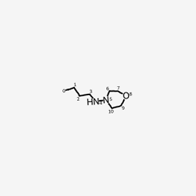 [CH2]CCCNN1CCOCC1